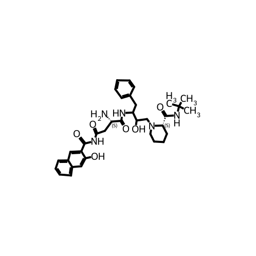 CC(C)(C)NC(=O)[C@@H]1CCCCN1CC(O)C(Cc1ccccc1)NC(=O)[C@@H](N)CC(=O)NC(=O)c1cc2ccccc2cc1O